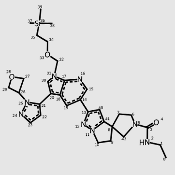 CCNC(=O)N1CCC2(CCn3nc(-c4cnc5c(c4)c(-c4ccnn4C4COC4)cn5COCC[Si](C)(C)C)cc32)C1